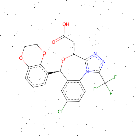 O=C(O)C[C@H]1O[C@H](c2cccc3c2OCCO3)c2cc(Cl)ccc2-n2c1nnc2C(F)(F)F